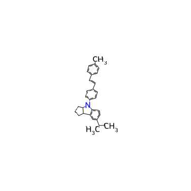 Cc1ccc(/C=C/c2ccc(N3c4ccc(C(C)C)cc4C4CCCC43)cc2)cc1